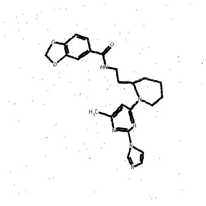 Cc1cc(N2CCCCC2CCNC(=O)c2ccc3c(c2)OCO3)nc(-n2ccnc2)n1